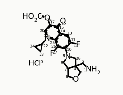 Cl.NCC12COCC1CN(c1c(F)cc3c(=O)c(OC(=O)O)cn(C4CC4)c3c1F)C2